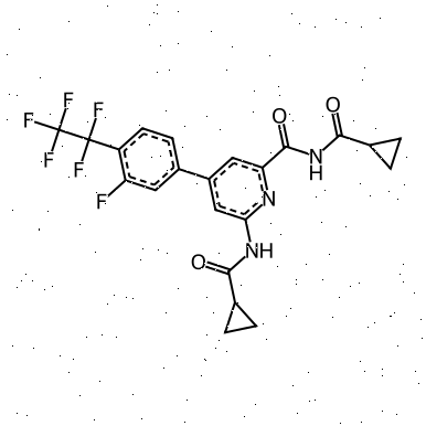 O=C(NC(=O)C1CC1)c1cc(-c2ccc(C(F)(F)C(F)(F)F)c(F)c2)cc(NC(=O)C2CC2)n1